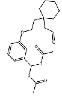 CC(=O)OC(OC(C)=O)c1cccc(OCCC2(CC=O)CCCCC2)c1